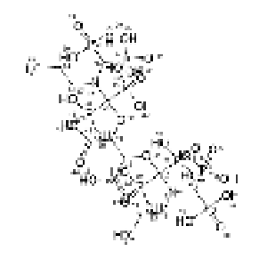 CCCN(C(P(=O)(O)O)P(=O)(O)O)C(OC(C(=O)O)C(OC(N(CCC)C(P(=O)(O)O)P(=O)(O)O)(P(=O)(O)O)P(=O)(O)O)C(=O)O)(P(=O)(O)O)P(=O)(O)O